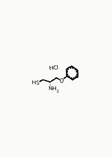 Cl.N[C@H](CS)COc1ccccc1